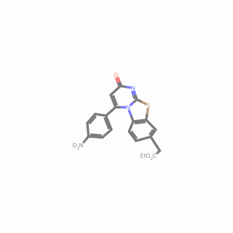 CCOC(=O)Cc1ccc2c(c1)sc1nc(=O)cc(-c3ccc([N+](=O)[O-])cc3)n12